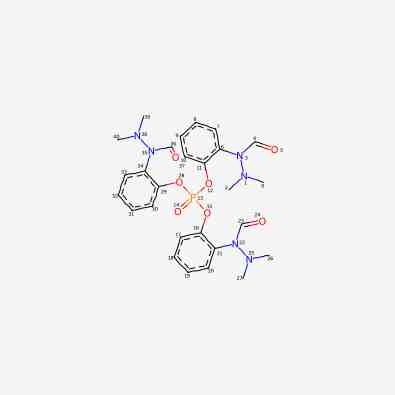 CN(C)N(C=O)c1ccccc1OP(=O)(Oc1ccccc1N(C=O)N(C)C)Oc1ccccc1N(C=O)N(C)C